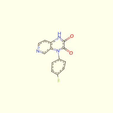 O=c1[nH]c2ccncc2n(-c2ccc(F)cc2)c1=O